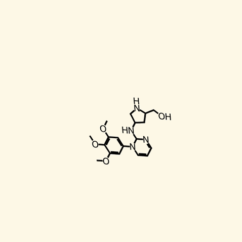 COc1cc(N2C=CC=NC2NC2CNC(CO)C2)cc(OC)c1OC